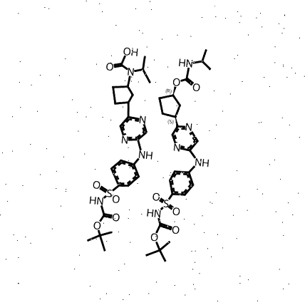 CC(C)N(C(=O)O)C1CCC(c2cnc(Nc3ccc(S(=O)(=O)NC(=O)OC(C)(C)C)cc3)cn2)C1.CC(C)NC(=O)O[C@@H]1CC[C@H](c2cnc(Nc3ccc(S(=O)(=O)NC(=O)OC(C)(C)C)cc3)cn2)C1